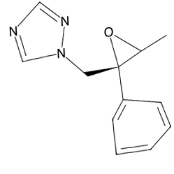 CC1O[C@@]1(Cn1cncn1)c1ccccc1